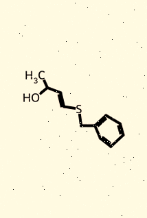 CC(O)C=CSCc1ccccc1